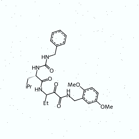 CCC(NC(=O)[C@H](CC(C)C)NC(=O)NCc1ccccc1)C(=O)C(=O)NCc1cc(OC)ccc1OC